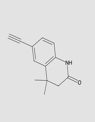 C#Cc1ccc2c(c1)C(C)(C)CC(=O)N2